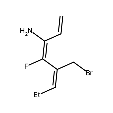 C=C/C(N)=C(F)\C(=C/CC)CBr